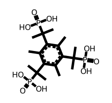 Cc1c(C(C)(C)P(=O)(O)O)c(C)c(C(C)(C)P(=O)(O)O)c(C)c1C(C)(C)P(=O)(O)O